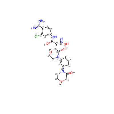 N=C(N)c1ccc(NC(=O)[C@H](NO)[C@H]2OCCN(C3=CC(N4CCOCC4=O)CC=C3)C2=O)cc1Cl